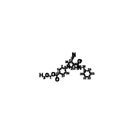 CCOC(=O)c1ccc(-n2cc(C#N)c(C(=O)NCc3ccccc3)c2)cc1